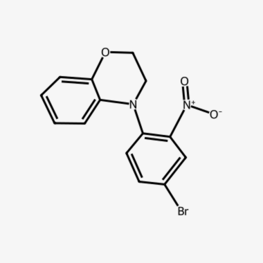 O=[N+]([O-])c1cc(Br)ccc1N1CCOc2ccccc21